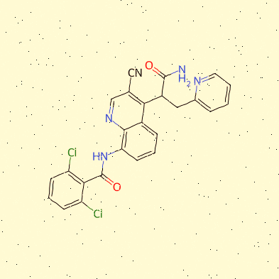 N#Cc1cnc2c(NC(=O)c3c(Cl)cccc3Cl)cccc2c1C(Cc1ccccn1)C(N)=O